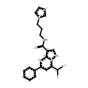 O=C(NCCCn1ccnc1)c1cnn2c(C(F)F)cc(-c3ccccc3)nc12